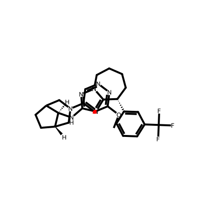 COc1cc(N2CC3CC[C@@H](C2)[C@@H]3Nc2nc3n(n2)CCCC[C@@H]3c2cccc(C(F)(F)F)c2)cnn1